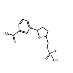 NC(=O)c1ccc[n+](C2CCC(COP(=O)([O-])O)O2)c1